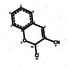 N#CC1=Cc2ccccc2OC1Cl